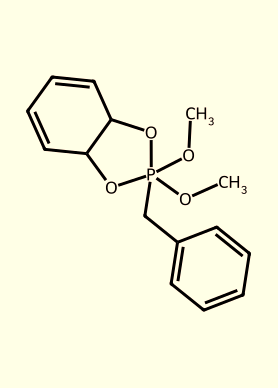 COP1(Cc2ccccc2)(OC)OC2C=CC=CC2O1